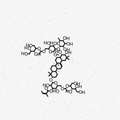 C/C=C(/C)C(=O)OC1C(O)[C@H](O[C@H]2CC[C@@]3(C)C(CC[C@]4(C)C3CC=C3C5CC(C)(C)[C@@H](O)[C@H](O)[C@]5(CO[C@@H]5OC(COC(C)OC(CO)[C@@H](O)C(O)CO)[C@@H](O)C(O)C5O[C@@H]5OC(C)[C@H](O)C(O)C5O)CC[C@]34C)C2(C)C)OC(COC(C)OC(CO)[C@@H](O)C(O)CO)[C@H]1O